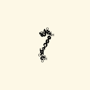 CC[C@@]1(O)CCc2ccc(-n3c4nc(Nc5ccc(N6CCN(C7CCN(C8CN(c9cc%10c(cc9F)C(=O)N(C9CCC(=O)NC9=O)C%10)C8)CC7)CC6)cc5)ncc4c(=O)n3C(C)C)nc21